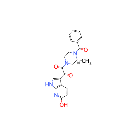 C[C@@H]1CN(C(=O)C(=O)c2c[nH]c3nc(O)ccc23)CCN1C(=O)c1ccccc1